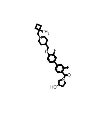 CC1(CN2CCC(COc3ccc(-c4ccc(C(=O)N5CC[C@H](O)C5)c(F)c4)cc3F)CC2)CCC1